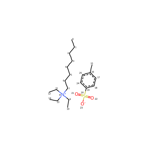 CCCCCCCC[N+](CC)(CC)CC.Cc1ccc(S(=O)(=O)[O-])cc1